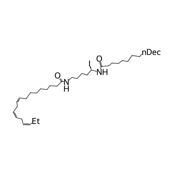 CC/C=C\C/C=C\C/C=C\CCCCCCCC(=O)NCCCC[C@@H](I)NC(=O)CCCCCCCCCCCCCCCCC